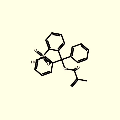 C=C(C)C(=O)OC(c1ccccc1)(c1ccccc1)c1ccccc1S(=O)(=O)O